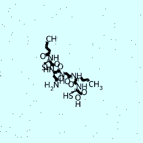 C#CCCC(=O)N[C@H](CS)C(=O)N[C@H](CC(N)=O)C(=O)NCC(=O)N[C@H](CCCC)C(=O)N[C@H](CS)C(=O)O